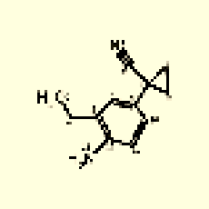 CCc1cc(C2(C#N)CC2)ccc1N